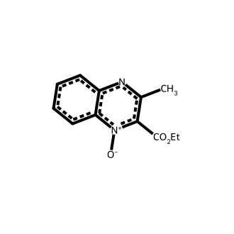 CCOC(=O)c1c(C)nc2ccccc2[n+]1[O-]